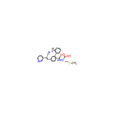 CSCC[C@H](NC(=O)c1ccc(C=C(C#N)c2cccnc2)cc1-c1ccccc1C)C(=O)O